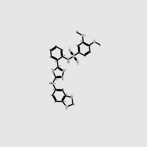 COc1ccc(S(=O)(=O)Nc2ccccc2-c2nnc(Nc3ccc4c(c3)OCO4)o2)cc1OC